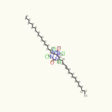 CCCCCCCCCCCCCCCCCCC12N(Cl)C(=O)N(Cl)C1(CCCCCCCCCCCCCCCCCC)N(Cl)C(=O)N2Cl